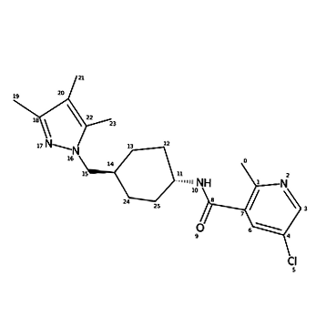 Cc1ncc(Cl)cc1C(=O)N[C@H]1CC[C@H](Cn2nc(C)c(C)c2C)CC1